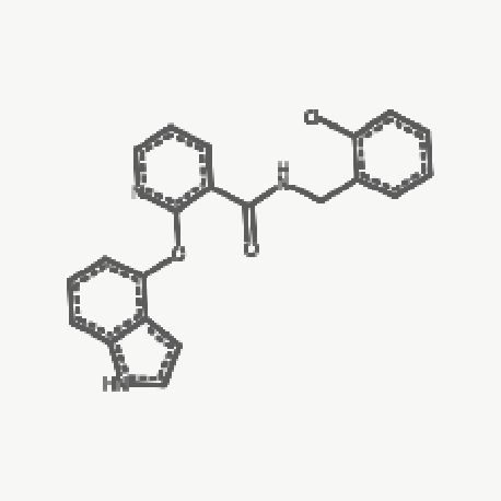 O=C(NCc1ccccc1Cl)c1cccnc1Oc1cccc2[nH]ccc12